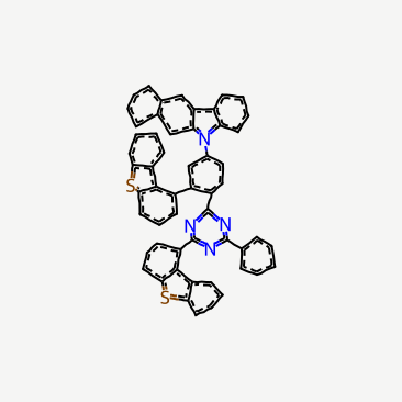 c1ccc(-c2nc(-c3ccc(-n4c5ccccc5c5cc6ccccc6cc54)cc3-c3cccc4sc5ccccc5c34)nc(-c3cccc4sc5ccccc5c34)n2)cc1